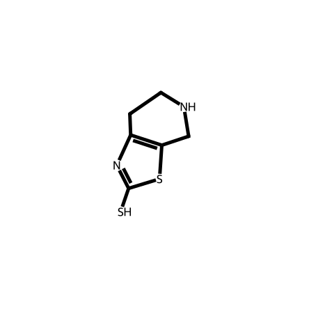 Sc1nc2c(s1)CNCC2